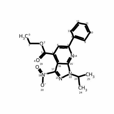 CCOC(=O)c1cc(-c2ccccc2)nc2c1c([N+](=O)[O-])nn2C(C)C